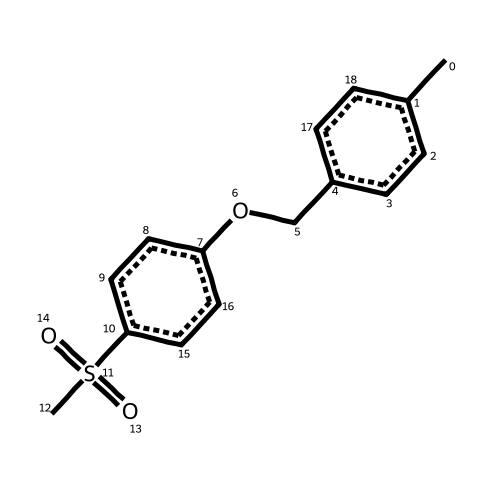 Cc1ccc(COc2ccc(S(C)(=O)=O)cc2)cc1